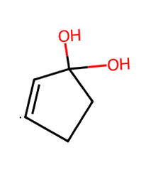 OC1(O)C=[C]CC1